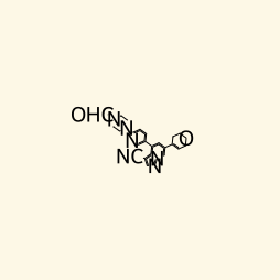 N#Cc1cnn2cc(C3=CCOCC3)cc(-c3ccc(N4CCN(C=O)CC4)nc3)c12